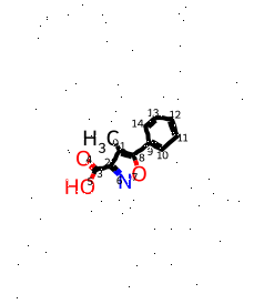 Cc1c(C(=O)O)noc1-c1ccccc1